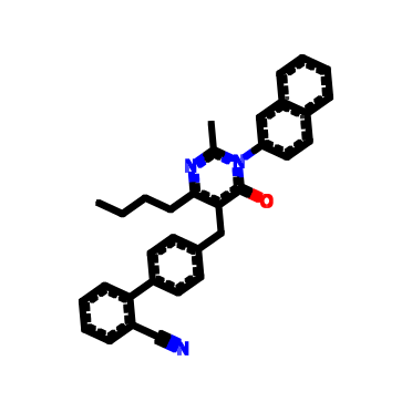 CCCCc1nc(C)n(-c2ccc3ccccc3c2)c(=O)c1Cc1ccc(-c2ccccc2C#N)cc1